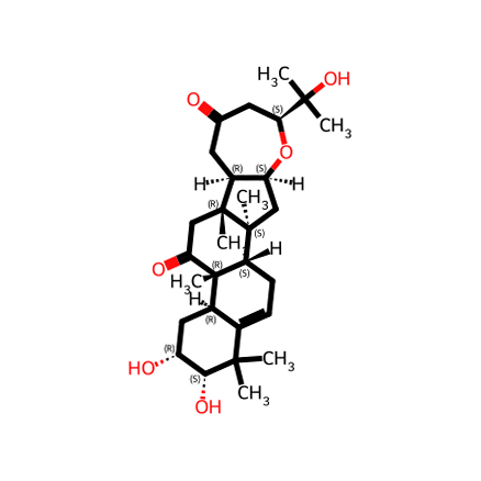 CC(C)(O)[C@@H]1CC(=O)C[C@H]2[C@H](C[C@@]3(C)[C@@H]4CC=C5[C@@H](C[C@@H](O)[C@@H](O)C5(C)C)[C@]4(C)C(=O)C[C@]23C)O1